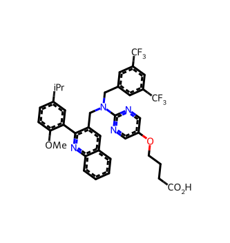 COc1ccc(C(C)C)cc1-c1nc2ccccc2cc1CN(Cc1cc(C(F)(F)F)cc(C(F)(F)F)c1)c1ncc(OCCCC(=O)O)cn1